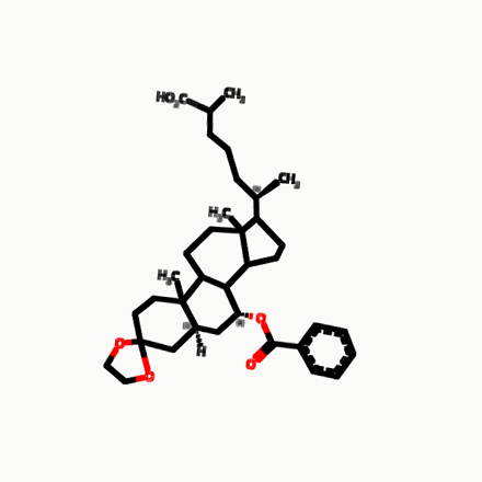 CC(CCC[C@@H](C)C1CCC2C3C(CCC21C)C1(C)CCC2(C[C@@H]1C[C@H]3OC(=O)c1ccccc1)OCCO2)C(=O)O